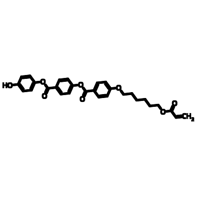 C=CC(=O)OCCCCCCOc1ccc(C(=O)Oc2ccc(C(=O)Oc3ccc(O)cc3)cc2)cc1